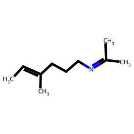 C/C=C(\C)CCCN=C(C)C